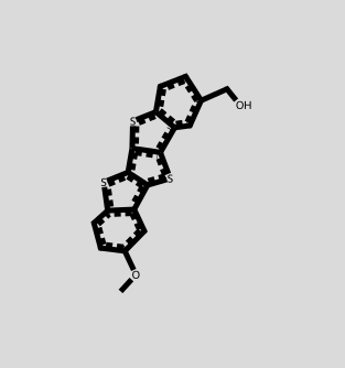 COc1ccc2sc3c(sc4c5cc(CO)ccc5sc43)c2c1